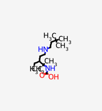 CCC(CCNCCC(C)(C)C)C(C)(C)NC(=O)O